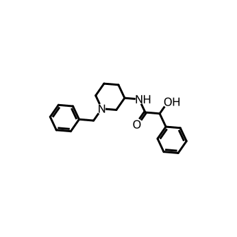 O=C(NC1CCCN(Cc2ccccc2)C1)C(O)c1ccccc1